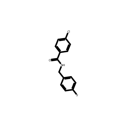 O=C(NCc1ccc(F)cc1)c1ccc(Cl)cc1